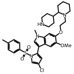 COc1cc2c(-c3cc(Cl)cn3S(=O)(=O)c3ccc(C)cc3)cn(C)c2cc1OCCN1CCCCC1C1CCNCC1